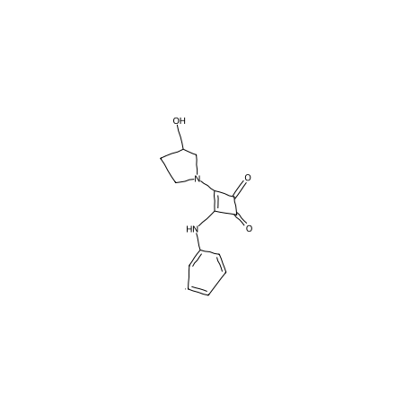 O=c1c(Nc2c[c]ccc2)c(N2CCC(O)C2)c1=O